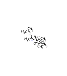 CCC(C)C(=O)N(C/C=C(/C)CCC=C(C)C)C(C)(C)C